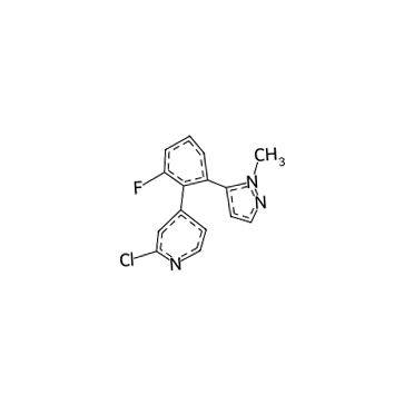 Cn1nccc1-c1cccc(F)c1-c1ccnc(Cl)c1